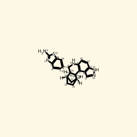 Nc1nc2ccc([C@@H]3Nc4ccc5[nH]ncc5c4[C@H]4[C@@H]5CC[C@@H](C5)[C@H]43)cc2s1